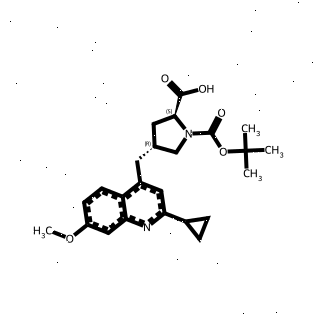 COc1ccc2c(C[C@@H]3C[C@@H](C(=O)O)N(C(=O)OC(C)(C)C)C3)cc(C3CC3)nc2c1